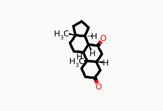 C[C@@]12CCC[C@H]1[C@@H]1C(=O)C[C@@H]3CC(=O)CC[C@]3(C)[C@H]1CC2